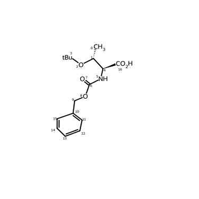 C[C@@H](OC(C)(C)C)[C@H](NC(=O)OCc1ccccc1)C(=O)O